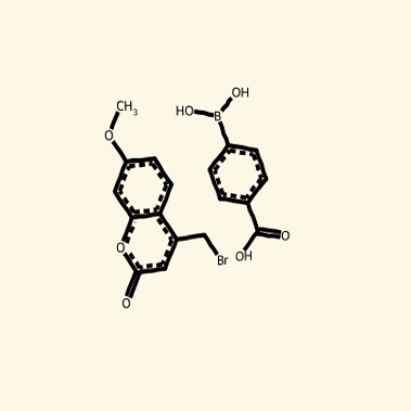 COc1ccc2c(CBr)cc(=O)oc2c1.O=C(O)c1ccc(B(O)O)cc1